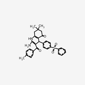 Cc1ccc(C(=O)C2=C(N)NC3=C(C(=O)CC(C)(C)C3)C2c2ccc(S(=O)(=O)c3ccccc3)cc2)cc1